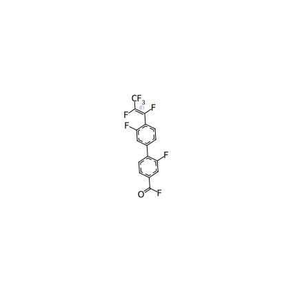 O=C(F)c1ccc(-c2ccc(/C(F)=C(\F)C(F)(F)F)c(F)c2)c(F)c1